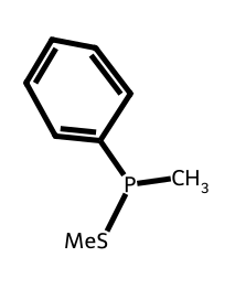 CSP(C)c1ccccc1